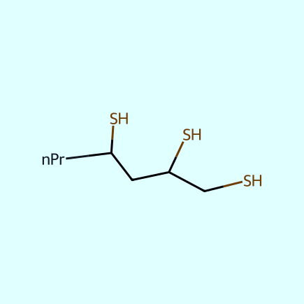 CCCC(S)CC(S)CS